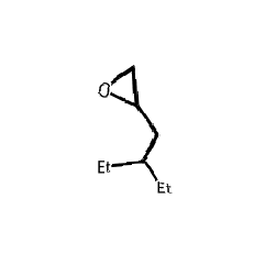 [CH2]CC(CC)CC1CO1